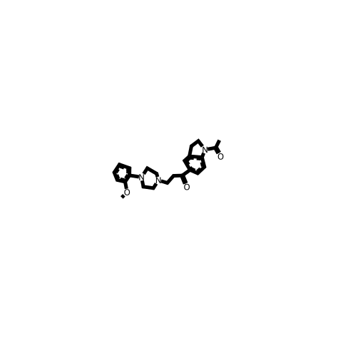 COc1ccccc1N1CCN(CCC(=O)c2ccc3c(c2)CCN3C(C)=O)CC1